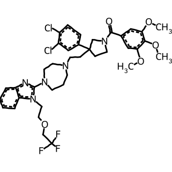 COc1cc(C(=O)N2CCC(CCN3CCCN(c4nc5ccccc5n4CCOCC(F)(F)F)CC3)(c3ccc(Cl)c(Cl)c3)C2)cc(OC)c1OC